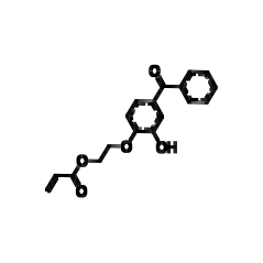 C=CC(=O)OCCOc1ccc(C(=O)c2ccccc2)cc1O